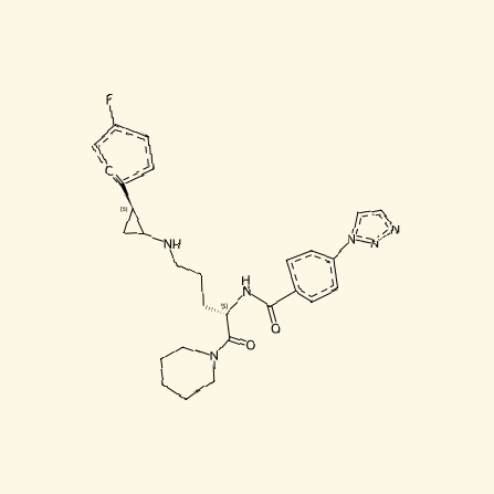 O=C(N[C@@H](CCCNC1C[C@H]1c1ccc(F)cc1)C(=O)N1CCCCC1)c1ccc(-n2ccnn2)cc1